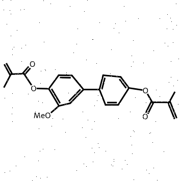 C=C(C)C(=O)Oc1ccc(-c2ccc(OC(=O)C(=C)C)c(OC)c2)cc1